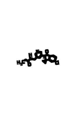 CCC(=O)NCc1cncc(N2C(=O)c3ccc(Cl)cc3C23CC3)c1